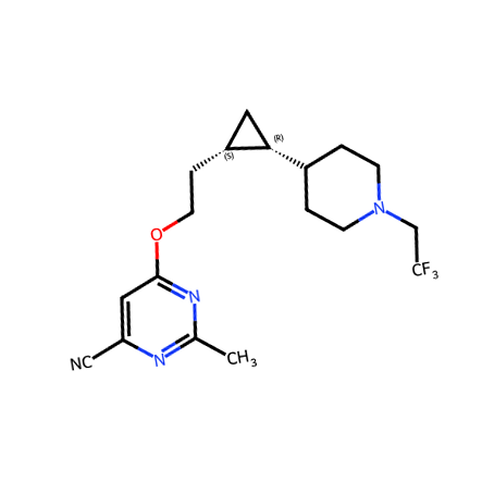 Cc1nc(C#N)cc(OCC[C@@H]2C[C@@H]2C2CCN(CC(F)(F)F)CC2)n1